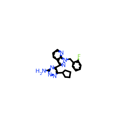 Nc1nnc(C2CCCC2)c(-c2nn(Cc3ccccc3F)c3ncccc23)n1